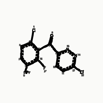 CCCc1ccc(Cl)c(C(=O)c2ccc(Cl)nn2)c1F